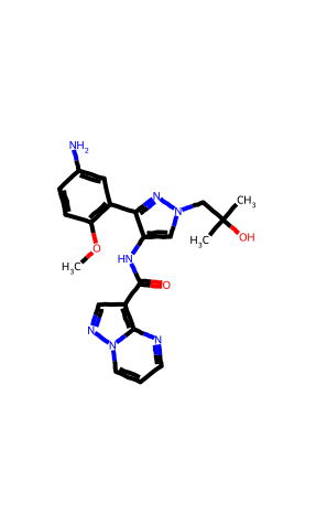 COc1ccc(N)cc1-c1nn(CC(C)(C)O)cc1NC(=O)c1cnn2cccnc12